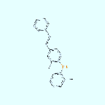 Cc1ccccc1Pc1ccc(C=Cc2ccccc2)cc1C